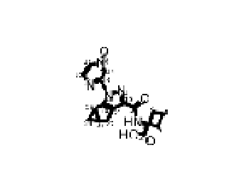 O=C(NC1(C(=O)O)CCC1)c1nn(-c2c[n+]([O-])ccn2)c2c1CC1CC21